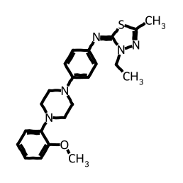 CCn1nc(C)sc1=Nc1ccc(N2CCN(c3ccccc3OC)CC2)cc1